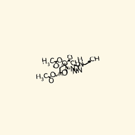 C#CCNc1cn([C@@H]2O[C@H](COC(C)=O)C(OC(C)=O)[C@@H]2OC(C)=O)nn1